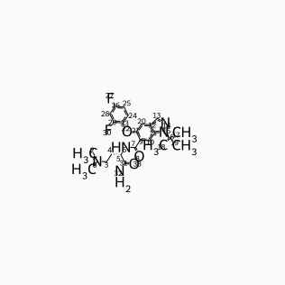 CN(C)CC[C@H](NC(=O)c1cc2c(cnn2C(C)(C)C)cc1Oc1ccc(F)cc1F)C(N)=O